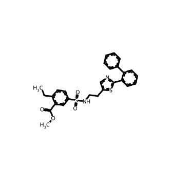 CCc1ccc(S(=O)(=O)NCCc2cnc(-c3ccccc3-c3ccccc3)s2)cc1C(=O)OC